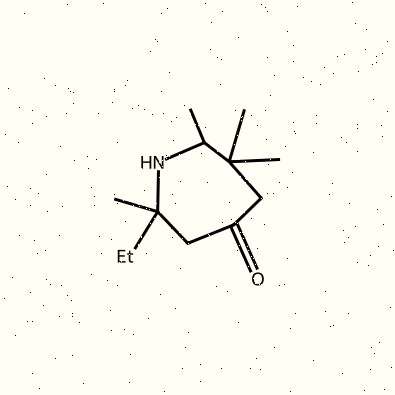 CCC1(C)CC(=O)CC(C)(C)C(C)N1